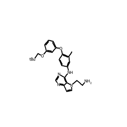 Cc1cc(Nc2ncnc3ccn(CCN)c23)ccc1Oc1cccc(OCC(C)(C)C)c1